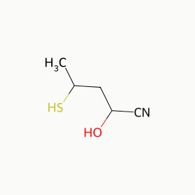 CC(S)CC(O)C#N